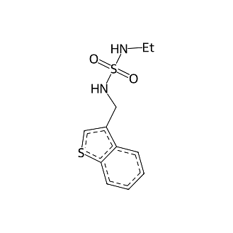 CCNS(=O)(=O)NCc1csc2ccccc12